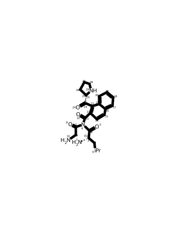 CC(C)C[C@H](N)C(=O)N(C(=O)CN)C(=O)c1ccc2ccccc2c1C(=O)[C@@H]1CCCN1